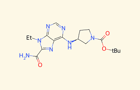 CCn1c(C(N)=O)nc2c(N[C@H]3CCN(C(=O)OC(C)(C)C)C3)ncnc21